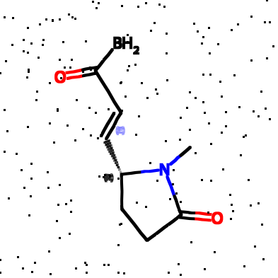 BC(=O)/C=C/[C@H]1CCC(=O)N1C